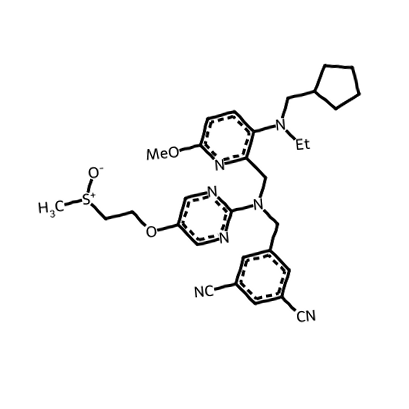 CCN(CC1CCCC1)c1ccc(OC)nc1CN(Cc1cc(C#N)cc(C#N)c1)c1ncc(OCC[S+](C)[O-])cn1